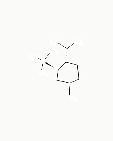 CC(C)[C@@H]1CC[C@@H](C)C[C@H]1S(C)(C)C